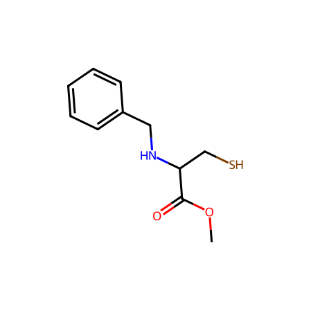 COC(=O)C(CS)NCc1ccccc1